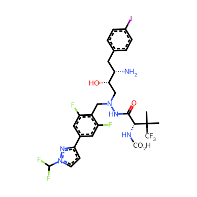 CC(C)([C@H](NC(=O)O)C(=O)NN(Cc1c(F)cc(-c2ccn(C(F)F)n2)cc1F)C[C@H](O)[C@@H](N)Cc1ccc(I)cc1)C(F)(F)F